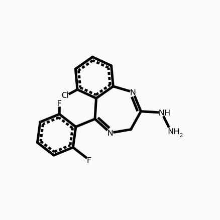 NNC1=Nc2cccc(Cl)c2C(c2c(F)cccc2F)=NC1